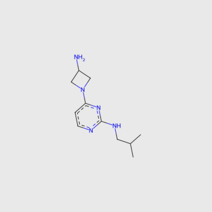 CC(C)CNc1nccc(N2CC(N)C2)n1